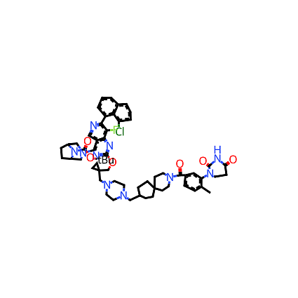 Cc1ccc(C(=O)N2CCC3(CCC(CN4CCN(CC5(COc6nc(N7CC8CCC(C7)N8C(=O)OC(C)(C)C)c7cnc(-c8cccc9cccc(Cl)c89)c(F)c7n6)CC5)CC4)CC3)CC2)cc1N1CCC(=O)NC1=O